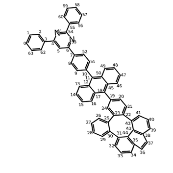 c1ccc(-c2cc(-c3ccc(-c4c5ccccc5c(-c5ccc6c(c5)c5ccccc5c5cccc7ccc8cccc6c8c75)c5ccccc45)cc3)nc(-c3ccccc3)n2)cc1